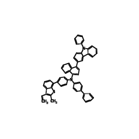 C=Cc1c(C)sc2c(-c3ccc(N(c4ccc(-c5ccccc5)cc4)c4ccc(-c5ccc6c(c5)c5ccccc5n6-c5ccccc5)c5ccccc45)cc3)cccc12